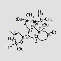 CC[C@H]1CC[C@@H]2O[C@@H]([C@H](/C=C/I)O[Si](C)(C)C(C)(C)C)[C@@H](O[Si](C)(C)C(C)(C)C)[C@@H](O[Si](C)(C)C(C)(C)C)[C@H]2O1